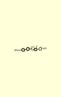 CCCCCc1ccc(-c2ccc(C(=O)Oc3ccc([C@H]4CC[C@H](CCC)CC4)c(F)c3F)cc2)cc1